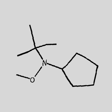 CON(C1CCCC1)C(C)(C)C